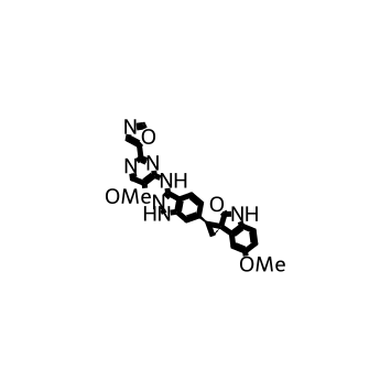 COc1ccc2c(c1)[C@]1(C[C@H]1c1ccc3c(Nc4nc(-c5cnco5)ncc4OC)n[nH]c3c1)C(=O)N2